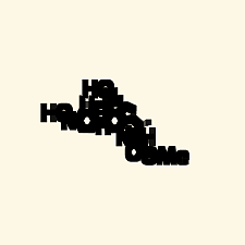 COC(=O)CC[C@@H](C)[C@H]1CC[C@H]2[C@@H]3C(=NO)C[C@@H]4C/C(=N\O)CC[C@]4(C)[C@H]3C/C(=N/O)[C@]12C